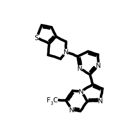 FC(F)(F)c1cn2c(-c3nccc(N4CCc5sccc5C4)n3)cnc2cn1